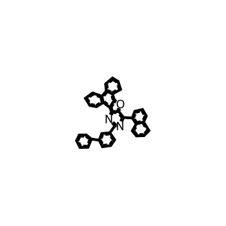 c1ccc(-c2cccc(-c3nc(-c4cccc5ccccc45)c4oc5c6ccccc6c6ccccc6c5c4n3)c2)cc1